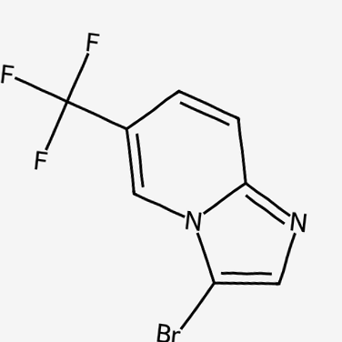 FC(F)(F)c1ccc2ncc(Br)n2c1